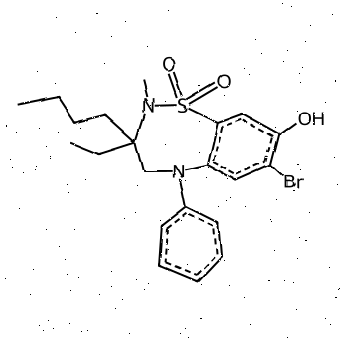 CCCCC1(CC)CN(c2ccccc2)c2cc(Br)c(O)cc2S(=O)(=O)N1C